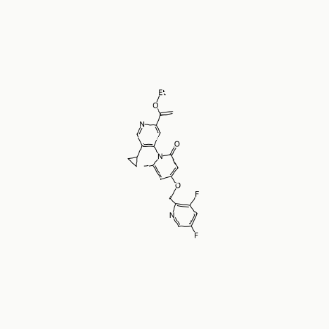 C=C(OCC)c1cc(-n2c(C)cc(OCc3ncc(F)cc3F)cc2=O)c(C2CC2)cn1